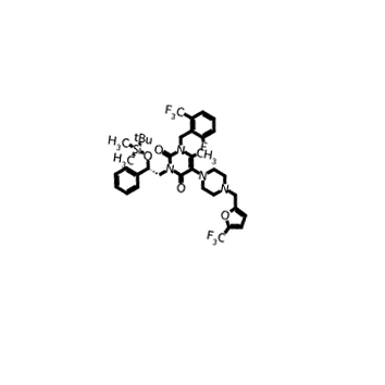 Cc1c(N2CCN(Cc3ccc(C(F)(F)F)o3)CC2)c(=O)n(C[C@@H](O[Si](C)(C)C(C)(C)C)c2ccccc2)c(=O)n1Cc1c(F)cccc1C(F)(F)F